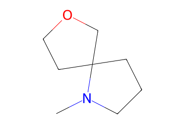 CN1CCCC12CCOC2